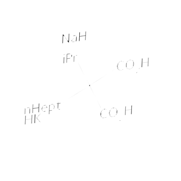 CCCCCCCC(C(=O)O)(C(=O)O)C(C)C.[KH].[NaH]